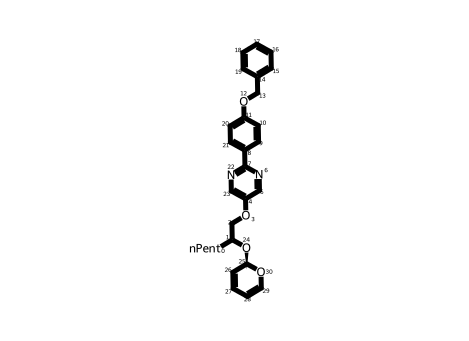 CCCCCC(COc1cnc(-c2ccc(OCc3ccccc3)cc2)nc1)O[C@@H]1C=CC=CO1